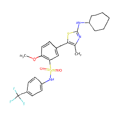 COc1ccc(-c2sc(NC3CCCCC3)nc2C)cc1S(=O)(=O)Nc1ccc(C(F)(F)F)cc1